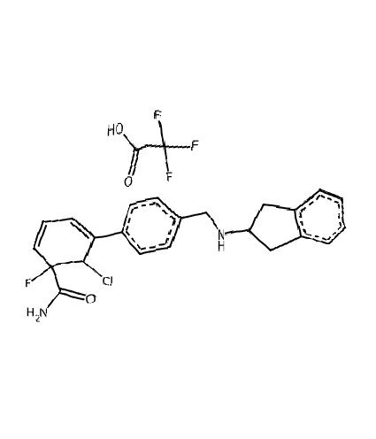 NC(=O)C1(F)C=CC=C(c2ccc(CNC3Cc4ccccc4C3)cc2)C1Cl.O=C(O)C(F)(F)F